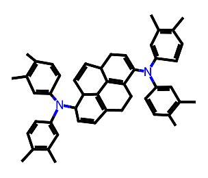 Cc1ccc(N(C2=CCC3C=CC4C5=C(C=CC4N(c4ccc(C)c(C)c4)c4ccc(C)c(C)c4)CCC2=C53)c2ccc(C)c(C)c2)cc1C